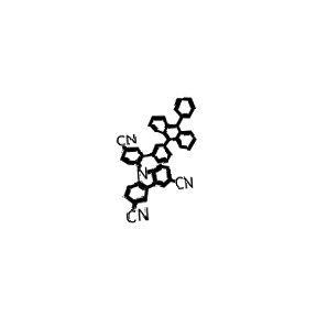 N#Cc1ccc(-n2c3ccc(C#N)cc3c3cc(C#N)ccc32)c(-c2cccc(-c3c4ccccc4c(-c4ccccc4)c4ccccc34)c2)c1